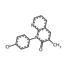 Cc1cc2cccnc2n(-c2ccc(Cl)cc2)c1=O